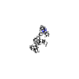 CC1(C)c2cc(-c3ccc(-n4c(-c5ccccc5)nc5ccccc54)cc3)cc3ccc4cc(-c5cc6ccccc6c6ccccc56)cc1c4c23